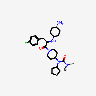 CCN(CC)C(=O)N(C1CCCC1)C1CCN(C(=O)[C@@H](Cc2ccc(Cl)cc2)N[C@H]2CC[C@@H](N)CC2)CC1